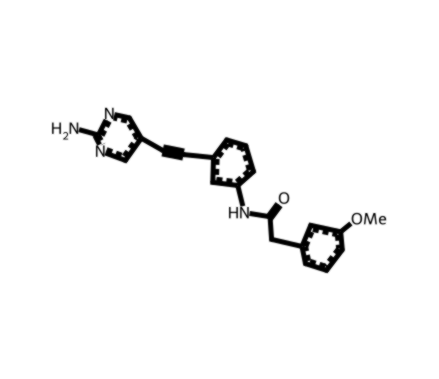 COc1cccc(CC(=O)Nc2cccc(C#Cc3cnc(N)nc3)c2)c1